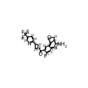 NC1N=c2cc(F)c(C(=O)N3CC(c4ccc(C(F)(F)F)cn4)C3)cc2=C2COCC21